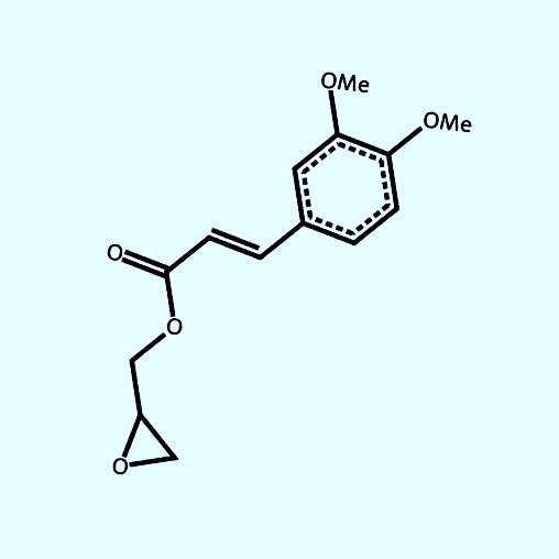 COc1ccc(C=CC(=O)OCC2CO2)cc1OC